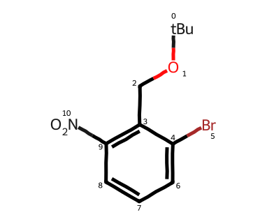 CC(C)(C)OCc1c(Br)cccc1[N+](=O)[O-]